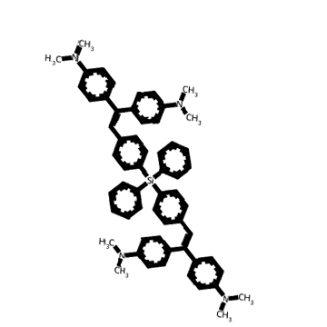 CN(C)c1ccc(C(=Cc2ccc([Si](c3ccccc3)(c3ccccc3)c3ccc(C=C(c4ccc(N(C)C)cc4)c4ccc(N(C)C)cc4)cc3)cc2)c2ccc(N(C)C)cc2)cc1